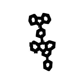 c1ccc(-c2cc3c4c(cccc4c2)N(c2ccc(-n4c5ccccc5c5ccccc54)cc2)c2cncnc2-3)cc1